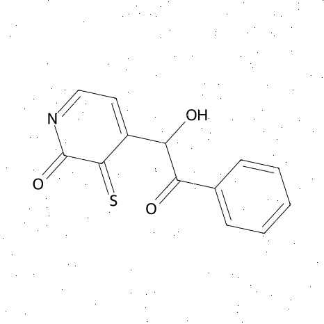 O=C1N=CC=C(C(O)C(=O)c2ccccc2)C1=S